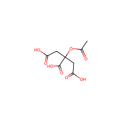 CC(=O)OC(CC(=O)O)(CC(=O)O)C(=O)O